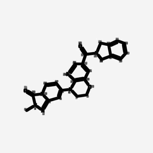 Cn1nc2cc(N3CCOc4cc(C(=O)N5Cc6ccccc6C5)cnc43)ccn2c1=O